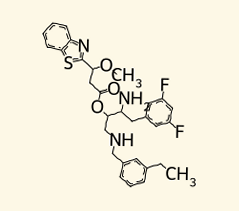 CCc1cccc(CNCC(OC(=O)CC(OC)c2nc3ccccc3s2)C(N)Cc2cc(F)cc(F)c2)c1